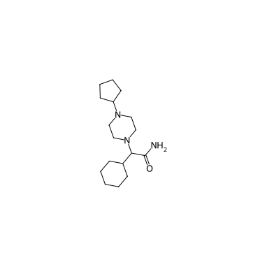 NC(=O)C(C1CCCCC1)N1CCN(C2CCCC2)CC1